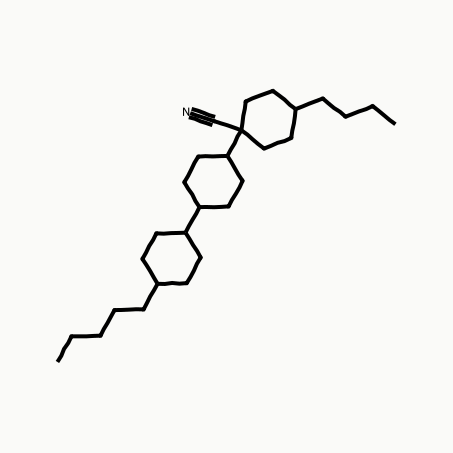 CCCCCC1CCC(C2CCC(C3(C#N)CCC(CCCC)CC3)CC2)CC1